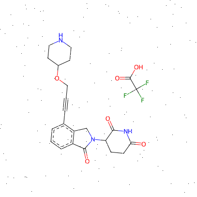 O=C(O)C(F)(F)F.O=C1CCC(N2Cc3c(C#CCOC4CCNCC4)cccc3C2=O)C(=O)N1